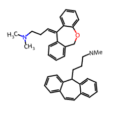 CN(C)CC/C=C1\c2ccccc2COc2ccccc21.CNCCCC1c2ccccc2C=Cc2ccccc21